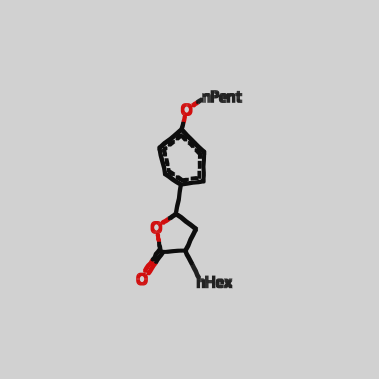 CCCCCCC1CC(c2ccc(OCCCCC)cc2)OC1=O